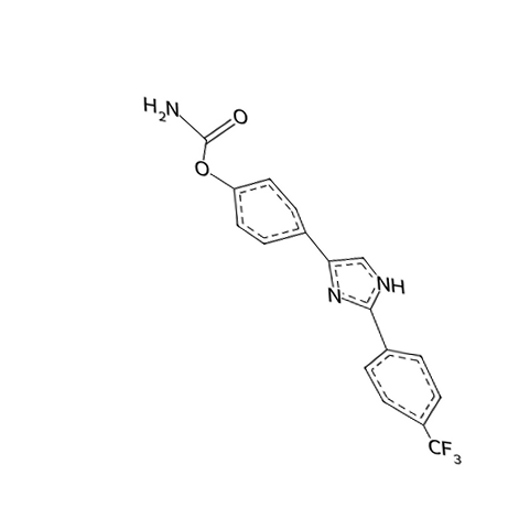 NC(=O)Oc1ccc(-c2c[nH]c(-c3ccc(C(F)(F)F)cc3)n2)cc1